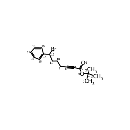 CC(C)(C)OC(=O)C#CCCCC(Br)c1ccccc1